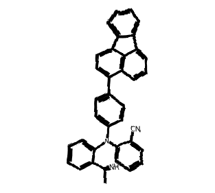 CC(=N)c1ccccc1N(c1ccc(-c2ccc3c4c(cccc24)-c2ccccc2-3)cc1)c1ccccc1C#N